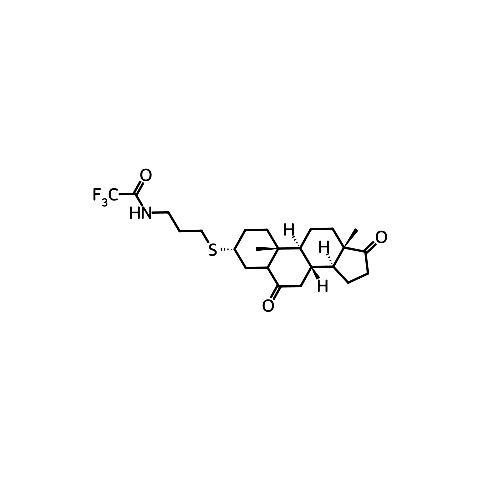 C[C@]12CC[C@@H](SCCCNC(=O)C(F)(F)F)CC1C(=O)C[C@@H]1[C@@H]2CC[C@]2(C)C(=O)CC[C@@H]12